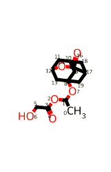 CC(OC(=O)CO)OC12CC3CC(C1)OC(=O)C(C3)C2